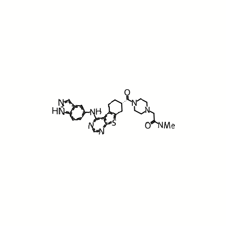 CNC(=O)CN1CCN(C(=O)[C@H]2CCc3c(sc4ncnc(Nc5ccc6[nH]ncc6c5)c34)C2)CC1